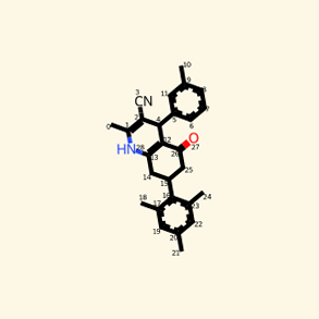 CC1=C(C#N)C(c2cccc(C)c2)C2=C(CC(c3c(C)cc(C)cc3C)CC2=O)N1